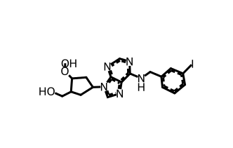 OCC1CC(n2cnc3c(NCc4cccc(I)c4)ncnc32)CC1OO